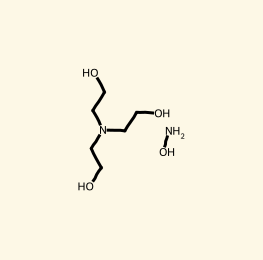 NO.OCCN(CCO)CCO